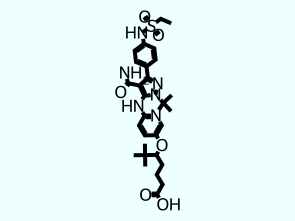 CCS(=O)(=O)Nc1ccc(-c2nn(C(C)(C)C)c(Nc3ccc(OC(CCCC(=O)O)C(C)(C)C)cn3)c2C(N)=O)cc1